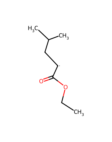 CCOC(=O)[CH]CC(C)C